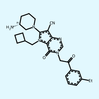 CCc1cccc(C(=O)Cn2cnc3c(C#N)c(N4CCC[C@@H](N)C4)n(CC4CCC4)c3c2=O)c1